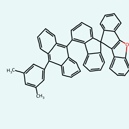 Cc1cc(C)cc(-c2c3ccccc3c(-c3cccc4c3-c3ccccc3C43c4ccccc4-c4oc5ccccc5c43)c3ccccc23)c1